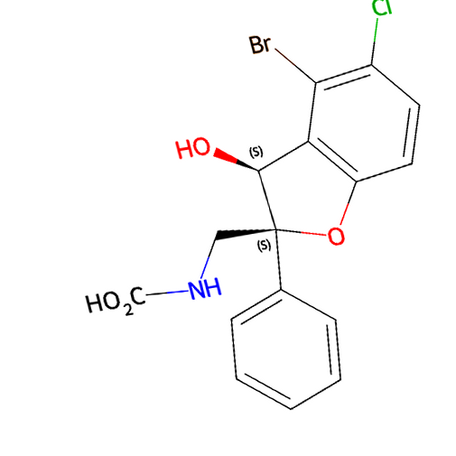 O=C(O)NC[C@]1(c2ccccc2)Oc2ccc(Cl)c(Br)c2[C@@H]1O